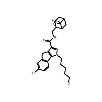 CC1(C)C2CCC(CNC(=O)c3nn(CCCCCCl)c4c3Cc3cc(Cl)ccc3-4)C1C2